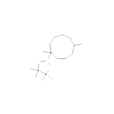 CCC1CCCCC(C)(B2OC(C)(C)C(C)(C)O2)CCC1